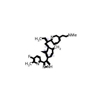 C=C1\C=C/C(c2c[nH]nc2-c2ccc(F)c(C)n2)=C/C=C/C1=C/C(=C\C)C1=NCC(CCNC)=CC=C1